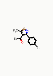 CCC(=O)c1c(-c2ccc(CC)cc2)nsc1C(F)(F)F